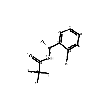 C[C@@H](NC(=O)C(C)(C)C)c1ccccc1F